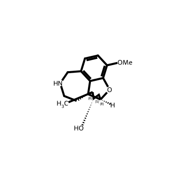 COc1ccc2c3c1O[C@@H]1C[C@H](O)C(C)[C@]31CCNC2